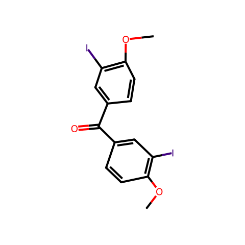 COc1ccc(C(=O)c2ccc(OC)c(I)c2)cc1I